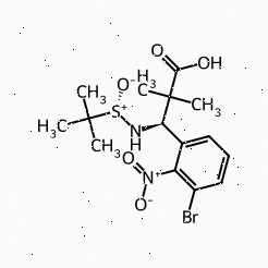 CC(C)(C(=O)O)[C@H](N[S@@+]([O-])C(C)(C)C)c1cccc(Br)c1[N+](=O)[O-]